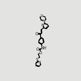 O=C(Nc1ccc(C(=O)C=Cc2cccc(N3CCOCC3)n2)cc1)OCCSc1ccccn1